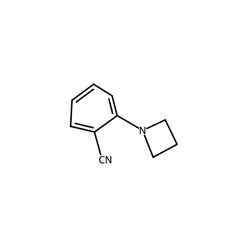 N#Cc1ccccc1N1CCC1